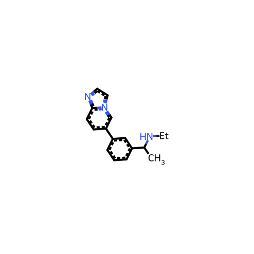 CCNC(C)c1cccc(-c2ccc3nccn3c2)c1